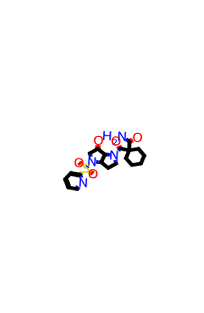 NC(=O)C1(C(=O)N2CCC3C2C(=O)CN3S(=O)(=O)c2ccccn2)CCCCC1